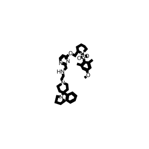 COc1cc(C)c(S(=O)(=O)N2CCCCC2COc2ccnc(CNCCN3CCC(c4ccccc4)(N4CCCC4)CC3)n2)c(C)c1